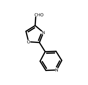 O=Cc1coc(-c2ccncc2)n1